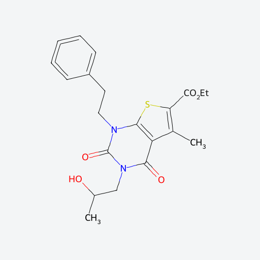 CCOC(=O)c1sc2c(c1C)c(=O)n(CC(C)O)c(=O)n2CCC1=CC=C=C=C1